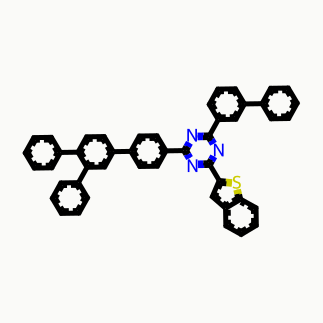 c1ccc(-c2cccc(-c3nc(-c4ccc(-c5ccc(-c6ccccc6)c(-c6ccccc6)c5)cc4)nc(-c4cc5ccccc5s4)n3)c2)cc1